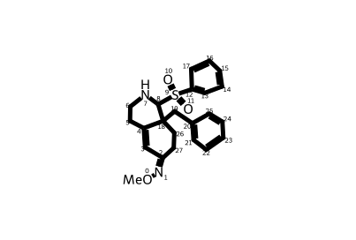 CON=C1C=C2CCNC(S(=O)(=O)c3ccccc3)C2(Cc2ccccc2)CC1